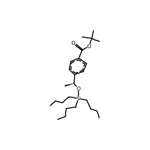 CCCC[Si](CCCC)(CCCC)O[C@@H](C)c1ccc(C(=O)OC(C)(C)C)cc1